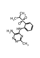 Cc1nnc(N)c(Nc2ccccc2S(=O)(=O)C(C)C)n1